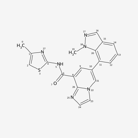 Cc1csc(NC(=O)c2cc(-c3cccc4cnn(C)c34)cn3ccnc23)n1